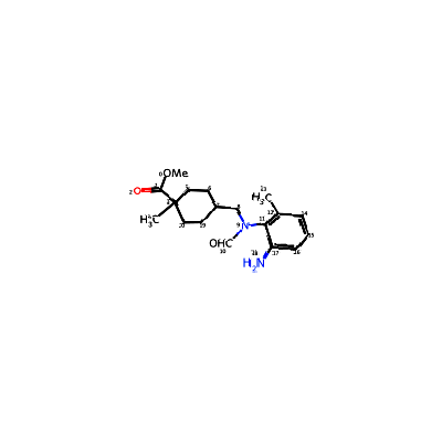 COC(=O)C1(C)CCC(CN(C=O)c2c(C)cccc2N)CC1